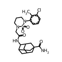 Cc1c(Cl)cccc1N1CCCN(CC(=O)NC2C3CC4CC2CC(C(N)=O)(C4)C3)S1(=O)=O